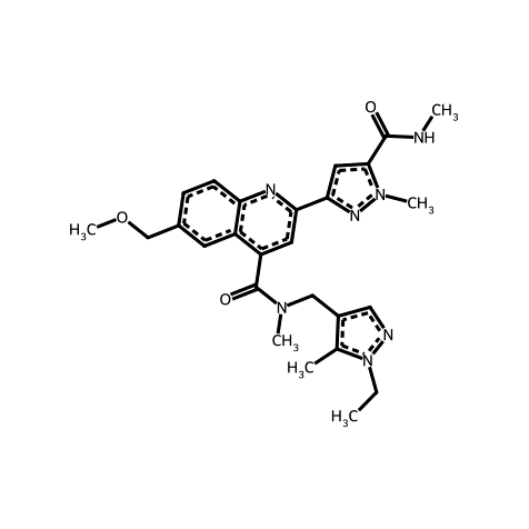 CCn1ncc(CN(C)C(=O)c2cc(-c3cc(C(=O)NC)n(C)n3)nc3ccc(COC)cc23)c1C